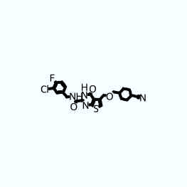 N#CC1CCC(COCc2csc3nc(C(=O)NCc4ccc(F)c(Cl)c4)[nH]c(=O)c23)CC1